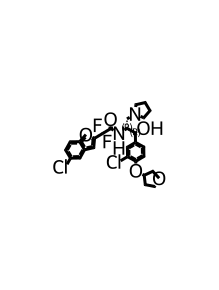 O=C(N[C@H](CN1CCCC1)[C@H](O)c1ccc(OC2CCOC2)c(Cl)c1)C(F)(F)c1cc2cc(Cl)ccc2o1